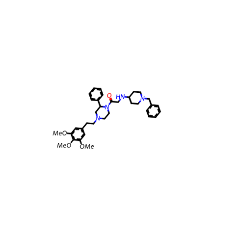 COc1cc(CCN2CCN(C(=O)CNC3CCN(Cc4ccccc4)CC3)C(c3ccccc3)C2)cc(OC)c1OC